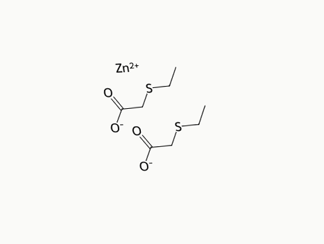 CCSCC(=O)[O-].CCSCC(=O)[O-].[Zn+2]